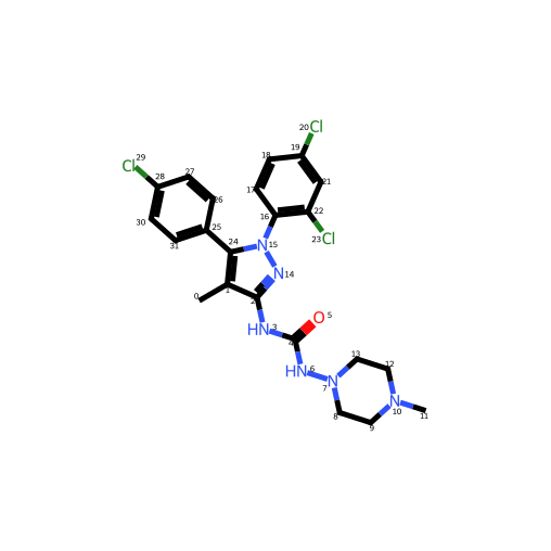 Cc1c(NC(=O)NN2CCN(C)CC2)nn(-c2ccc(Cl)cc2Cl)c1-c1ccc(Cl)cc1